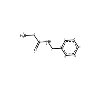 BCC(=O)NCc1ccccc1